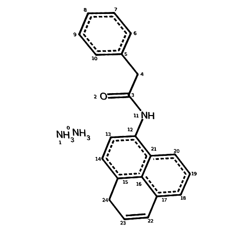 N.N.O=C(Cc1ccccc1)Nc1ccc2c3c(cccc13)C=CC2